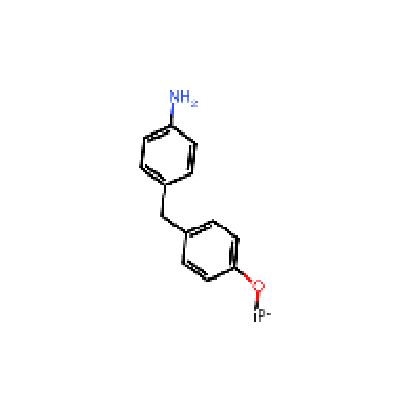 CC(C)Oc1ccc(Cc2ccc(N)cc2)cc1